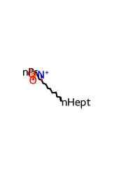 CCCCCCCC=CCCCCCCCCCC(CCC)(P(=O)=O)[N+](C)(C)C